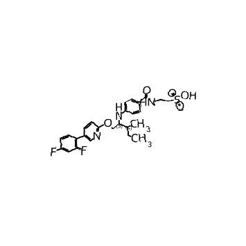 CC[C@H](C)[C@@H](COc1ccc(-c2ccc(F)cc2F)cn1)Nc1ccc(C(=O)NCCS(=O)(=O)O)cc1